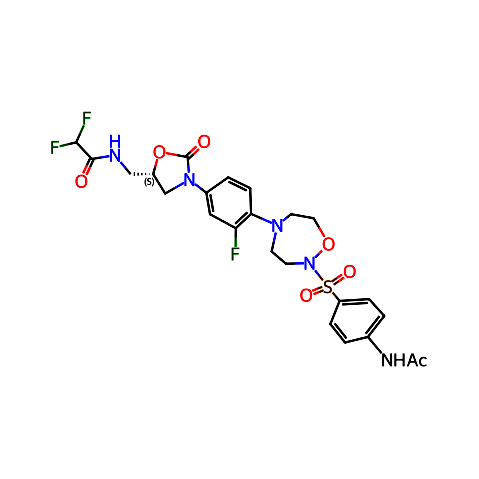 CC(=O)Nc1ccc(S(=O)(=O)N2CCN(c3ccc(N4C[C@H](CNC(=O)C(F)F)OC4=O)cc3F)CCO2)cc1